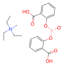 CC[N+](C)(CC)CC.O=C(O)c1ccccc1OB([O-])Oc1ccccc1C(=O)O